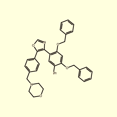 CC(C)c1cc(-c2ncoc2-c2ccc(CN3CCOCC3)cc2)c(OCc2ccccc2)cc1OCc1ccccc1